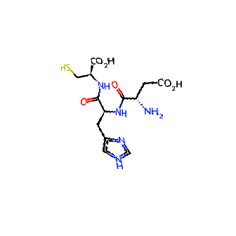 N[C@@H](CC(=O)O)C(=O)N[C@@H](Cc1c[nH]cn1)C(=O)N[C@@H](CS)C(=O)O